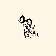 CCCC[C@@H](C(=O)N1CCCC1c1cccnc1)[C@H](O)C(=O)NO